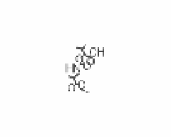 CCOC(=O)C(C)CNC(=O)O[C@H](C(=O)O)C(C)C